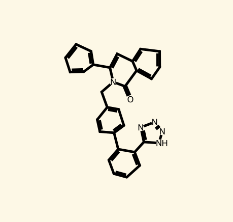 O=c1c2ccccc2cc(-c2ccccc2)n1Cc1ccc(-c2ccccc2-c2nnn[nH]2)cc1